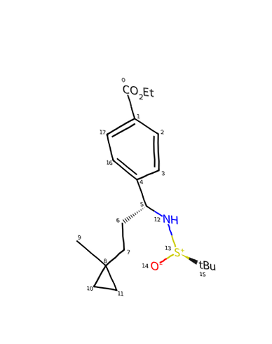 CCOC(=O)c1ccc([C@@H](CCC2(C)CC2)N[S@+]([O-])C(C)(C)C)cc1